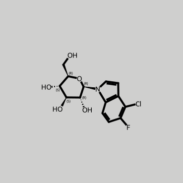 OC[C@H]1O[C@@H](n2ccc3c(Cl)c(F)ccc32)[C@H](O)[C@@H](O)[C@@H]1O